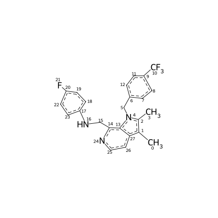 Cc1c(C)n(Cc2ccc(C(F)(F)F)cc2)c2c(CNc3ccc(F)cc3)nccc12